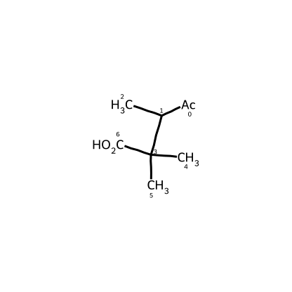 CC(=O)C(C)C(C)(C)C(=O)O